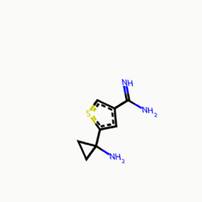 N=C(N)c1csc(C2(N)CC2)c1